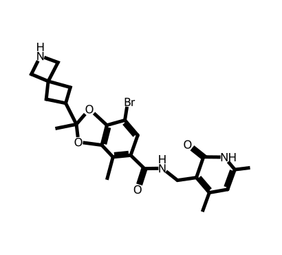 Cc1cc(C)c(CNC(=O)c2cc(Br)c3c(c2C)OC(C)(C2CC4(CNC4)C2)O3)c(=O)[nH]1